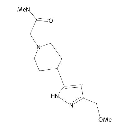 CNC(=O)CN1CCC(c2[c]c(COC)n[nH]2)CC1